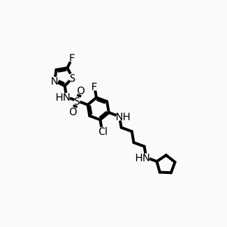 O=S(=O)(Nc1ncc(F)s1)c1cc(Cl)c(NCCCCNC2CCCC2)cc1F